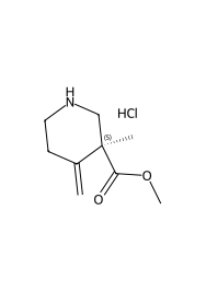 C=C1CCNC[C@@]1(C)C(=O)OC.Cl